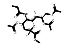 CCC(=O)N[C@H]1[C@H]([C@H](C)[C@@H](COC(C)=O)OC(C)=O)O[C@](Cl)(C(=O)OC)C[C@@H]1OC(C)=O